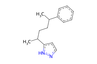 CC(CCC(C)c1ccn[nH]1)c1ccccc1